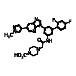 Cn1cc(-c2cnc3c(c2)ncn3-c2cc(NC(=O)CN3CCN(C(=O)O)CC3)cc(-c3ccc(F)cc3F)c2)cn1